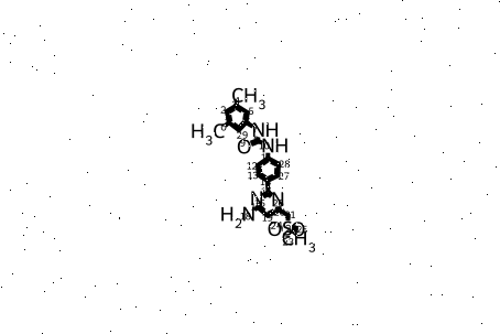 Cc1cc(C)cc(NC(=O)Nc2ccc(-c3nc(N)cc(CS(C)(=O)=O)n3)cc2)c1